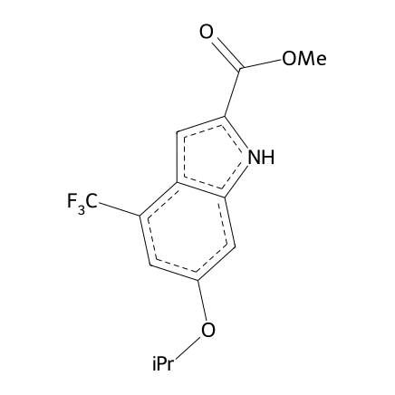 COC(=O)c1cc2c(C(F)(F)F)cc(OC(C)C)cc2[nH]1